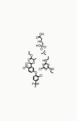 CCNc1nc(Cl)nc(NCC)n1.CCOC(=O)C(C)OC(=O)c1cc(Oc2ccc(C(F)(F)F)cc2Cl)ccc1[N+](=O)[O-].C[S+](C)C.O=C(O)CNCP(=O)([O-])O